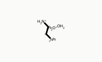 CCCCCN.O.O